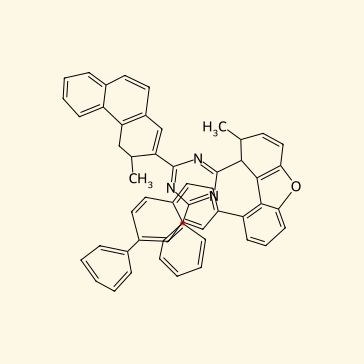 CC1Cc2c(ccc3ccccc23)C=C1c1nc(-c2ccccc2)nc(C2c3c(oc4cccc(-c5ccc6ccc(-c7ccccc7)cc6c5)c34)C=CC2C)n1